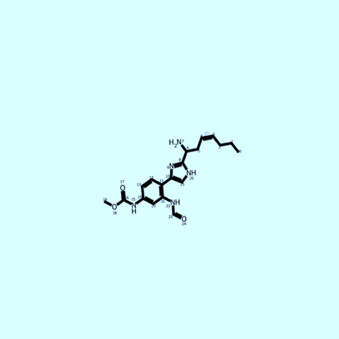 CCC/C=C\CC(N)c1nc(-c2ccc(NC(=O)OC)cc2NC=O)c[nH]1